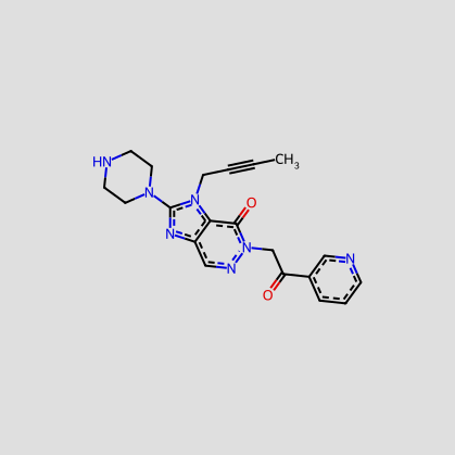 CC#CCn1c(N2CCNCC2)nc2cnn(CC(=O)c3cccnc3)c(=O)c21